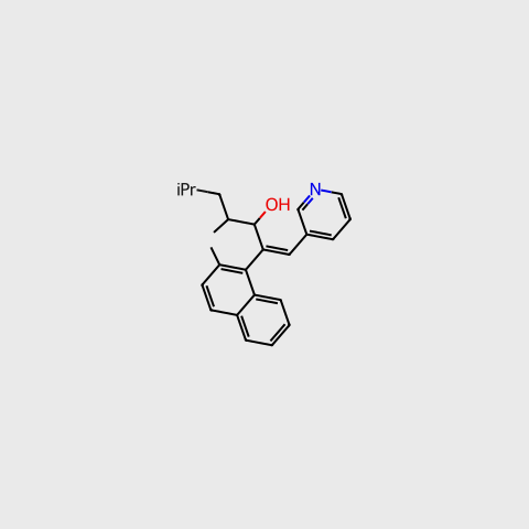 Cc1ccc2ccccc2c1C(=Cc1cccnc1)C(O)C(C)CC(C)C